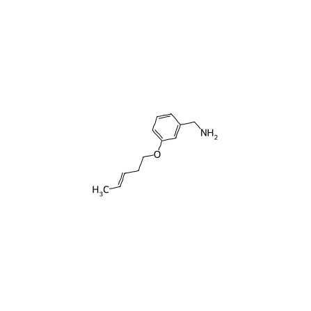 CC=CCCOc1cccc(CN)c1